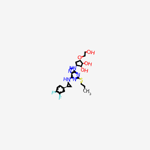 CCCSc1nc(N[C@@H]2C[C@H]2c2ccc(F)c(F)c2)c2nnn([C@H]3C[C@H](OCCO)[C@@H](O)[C@H]3O)c2n1